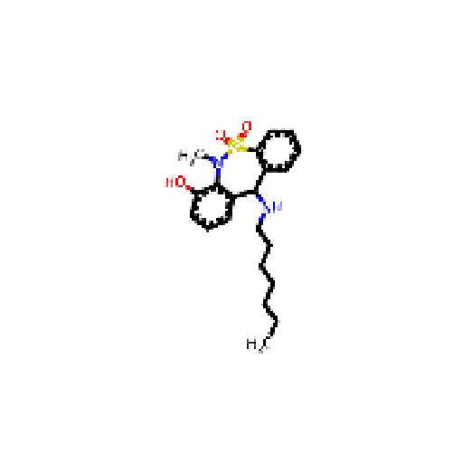 CCCCCCCNC1c2ccccc2S(=O)(=O)N(C)c2c(O)cccc21